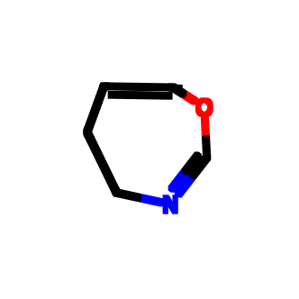 [C]1=CCCN=CO1